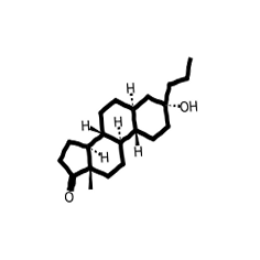 CCC[C@@]1(O)CC[C@H]2[C@@H](CC[C@@H]3[C@@H]2CC[C@]2(C)C(=O)CC[C@@H]32)C1